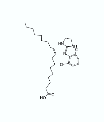 CCCCCCCC/C=C\CCCCCCCC(=O)O.Clc1cccc(Cl)c1N=C1NCCN1